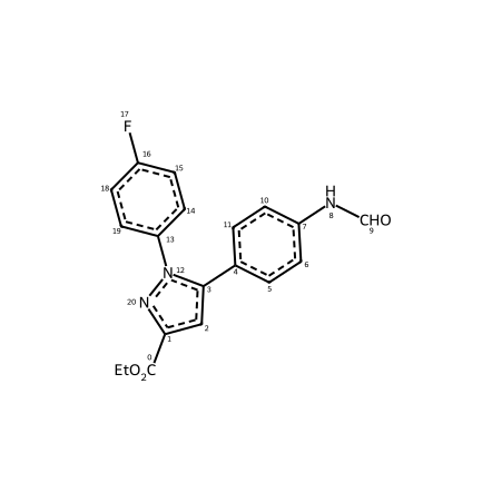 CCOC(=O)c1cc(-c2ccc(NC=O)cc2)n(-c2ccc(F)cc2)n1